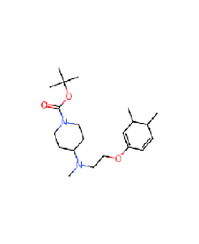 CC1C=CC(OCCN(C)C2CCN(C(=O)OC(C)(C)C)CC2)=CC1C